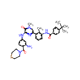 Cc1c(NC(=O)c2ccc(C(C)(C)C)cc2)cccc1-c1cn(C)c(=O)c(Nc2ccc(C(=O)N3CCSCC3)c(N)c2)n1